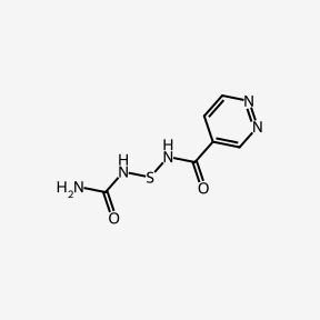 NC(=O)NSNC(=O)c1ccnnc1